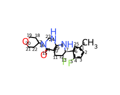 Cc1ccc(F)c([C@@H]2NC3=C(C[C@H]2F)C(=O)N(C2CCOCC2)CN3)c1